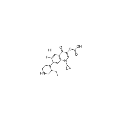 CCC1CNCCN1c1cc2c(cc1F)c(=O)c(OC(=O)O)cn2C1CC1.I